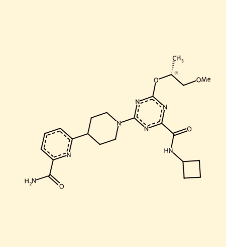 COC[C@@H](C)Oc1nc(C(=O)NC2CCC2)nc(N2CCC(c3cccc(C(N)=O)n3)CC2)n1